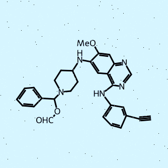 C#Cc1cccc(Nc2ncnc3cc(OC)c(NC4CCN(C(OC=O)c5ccccc5)CC4)cc23)c1